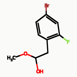 COC(O)Cc1ccc(Br)cc1F